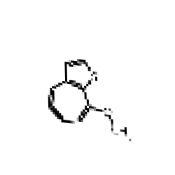 COC1=CC=C=Cc2ccsc21